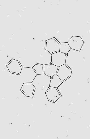 c1ccc(-c2sc3c(c2-c2ccccc2)-n2c4ccccc4c4ccc5c(c42)B3c2cccc3c2N5C2CCCCC32)cc1